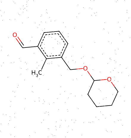 Cc1c(C=O)cccc1COC1CCCCO1